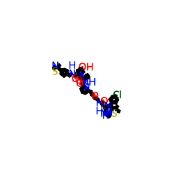 Cc1ncsc1-c1ccc(CNC(=O)[C@@H]2C[C@@H](O)CN2C(=O)C(NC(=O)c2cccc(CCOCCNC(=O)C[C@@H]3N=C(c4ccc(Cl)cc4)c4c(sc(C)c4C)-n4c(C)nnc43)n2)C(C)(C)C)cc1